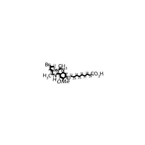 COc1cc2c(N[C@H](C)c3cc(Br)cs3)nc(C)nc2cc1OCCCCCCCCC(=O)O